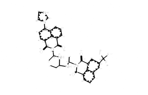 CCC(NC(C)N1C(=O)c2cccc3cc(C(F)(F)F)cc(c23)C1=O)NC(C)N1C(=O)c2cccc3c(-n4ccnc4)ccc(c23)C1=O